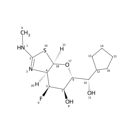 CNC1=N[C@@H]2[C@H](F)[C@H](O)[C@@H]([C@@H](O)C3CCCC3)O[C@@H]2S1